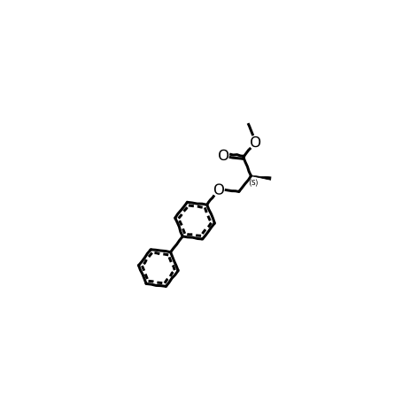 COC(=O)[C@@H](C)COc1ccc(-c2ccccc2)cc1